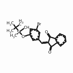 CC(C)(C)[Si](C)(C)Oc1cc(Br)cc(C=C2C(=O)c3ccccc3C2=O)c1